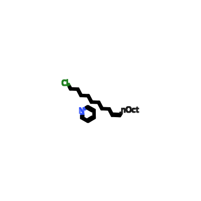 CCCCCCCC/C=C\CCCCCCCCCl.c1ccncc1